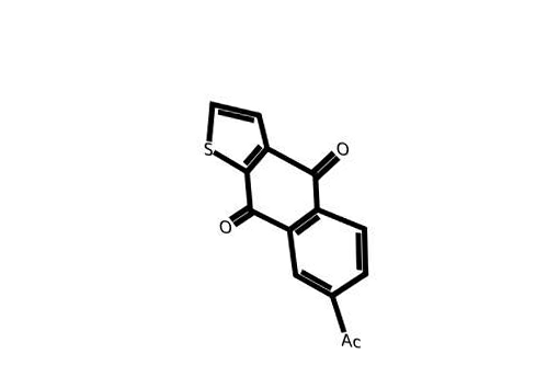 CC(=O)c1ccc2c(c1)C(=O)c1sccc1C2=O